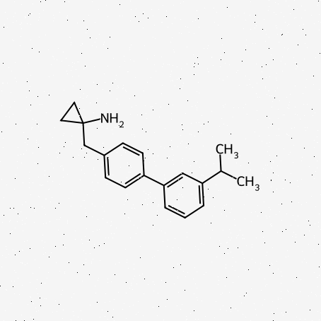 CC(C)c1cccc(-c2ccc(CC3(N)CC3)cc2)c1